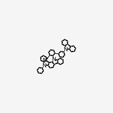 N#Cc1cccc(-c2cccc(-n3c4ccccc4c4ccccc43)c2)c1-n1c2ccccc2c2ccc3c(c4ccccc4n3-c3ccccc3)c21